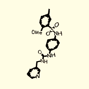 COc1ccc(C)cc1S(=O)(=O)Nc1ccc(NC(=O)NCc2cccnc2)cc1